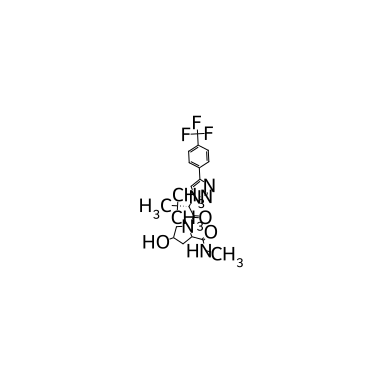 CNC(=O)C1CC(O)CN1C(=O)[C@@H](n1cc(-c2ccc(C(F)(F)F)cc2)nn1)C(C)(C)C